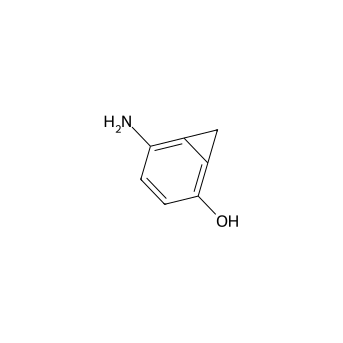 Nc1ccc(O)c2c1C2